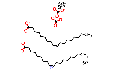 CCCCCCCC/C=C\CCCCCCCC(=O)[O-].CCCCCCCC/C=C\CCCCCCCC(=O)[O-].O=C([O-])[O-].O=C([O-])[O-].[Sr+2].[Sr+2].[Sr+2]